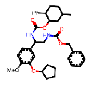 COc1ccc(C(CNC(=O)OCc2ccccc2)NC(=O)OC2CC(C)CCC2C(C)C)cc1OC1CCCC1